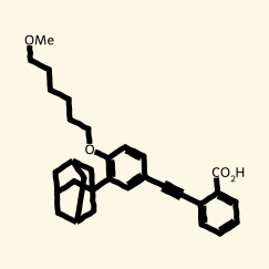 COCCCCCCOc1ccc(C#Cc2ccccc2C(=O)O)cc1C12CC3CC(CC(C3)C1)C2